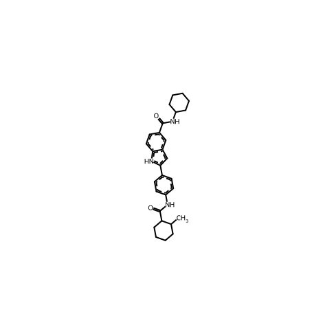 CC1CCCCC1C(=O)Nc1ccc(-c2cc3cc(C(=O)NC4CCCCC4)ccc3[nH]2)cc1